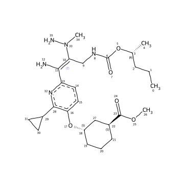 CCC[C@@H](C)OC(=O)NC/C(=C(/N)c1ccc(O[C@H]2CCC[C@H](C(=O)OC)C2)c(C2CC2)n1)N(C)N